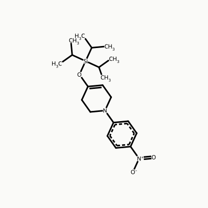 CC(C)[Si](OC1=CCN(c2ccc([N+](=O)[O-])cc2)CC1)(C(C)C)C(C)C